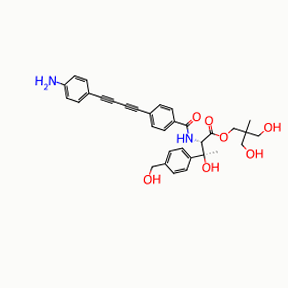 CC(CO)(CO)COC(=O)[C@@H](NC(=O)c1ccc(C#CC#Cc2ccc(N)cc2)cc1)[C@@](C)(O)c1ccc(CO)cc1